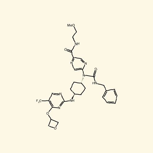 COCCNC(=O)c1cnc(N(C(=O)NCc2ccccc2)[C@H]2CC[C@H](Nc3ncc(C(F)(F)F)c(OC4COC4)n3)CC2)cn1